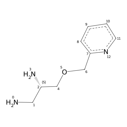 NC[C@H](N)COCc1ccccn1